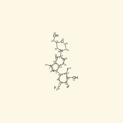 Cn1nc(-c2cc(C(F)(F)F)c(F)c(O)c2F)c2cnc(N3CCOC(CO)C3)nc21